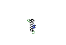 Clc1ccc(CCCC(Cc2ccccc2Cl)Cn2ccnc2)cc1